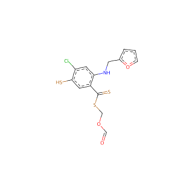 O=COCSC(=S)c1cc(S)c(Cl)cc1NCc1ccco1